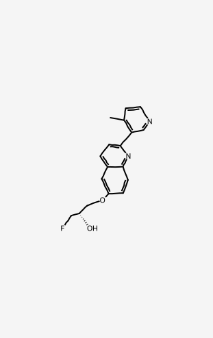 Cc1ccncc1-c1ccc2cc(OC[C@H](O)CF)ccc2n1